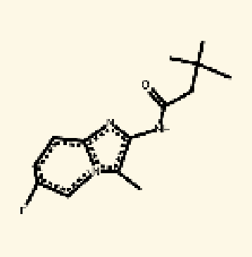 Cc1c(NC(=O)CC(C)(C)C)nc2ccc(F)cn12